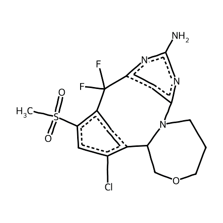 CS(=O)(=O)c1cc(Cl)c2cc1C(F)(F)c1cc(nc(N)n1)N1CCCOCC21